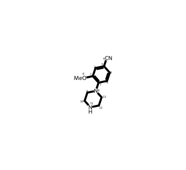 COc1cc(C#N)ccc1N1CCNCC1